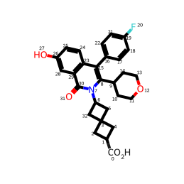 O=C(O)C1CC2(C1)CC(n1c(C3CCOCC3)c(-c3ccc(F)cc3)c3ccc(O)cc3c1=O)C2